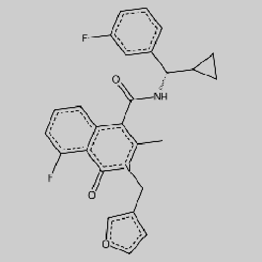 Cc1c(C(=O)N[C@H](c2cccc(F)c2)C2CC2)c2cccc(F)c2c(=O)n1Cc1ccoc1